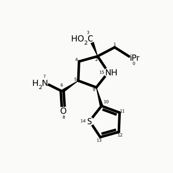 CC(C)C[C@@]1(C(=O)O)C[C@H](C(N)=O)[C@H](c2cccs2)N1